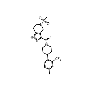 Cc1ccc(C2CCN(C(=O)c3n[nH]c4c3CN(S(C)(=O)=O)CC4)CC2)c(C(F)(F)F)c1